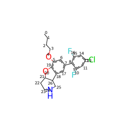 CCCCOc1cc(-c2c(F)cc(Cl)cc2F)cc2c1OC1CCNCC21